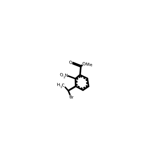 COC(=O)c1cccc(C(C)Br)c1[N+](=O)[O-]